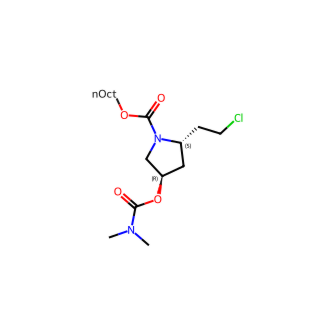 CCCCCCCCOC(=O)N1C[C@H](OC(=O)N(C)C)C[C@H]1CCCl